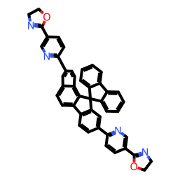 c1ccc2c(c1)-c1ccccc1C21c2cc(-c3ccc(C4=NCCO4)cn3)ccc2-c2ccc3cc(-c4ccc(C5=NCCO5)cn4)ccc3c21